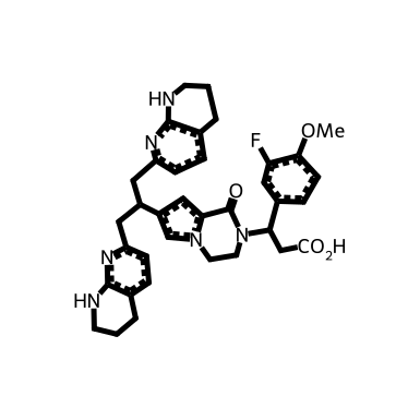 COc1ccc(C(CC(=O)O)N2CCn3cc(C(Cc4ccc5c(n4)NCCC5)Cc4ccc5c(n4)NCCC5)cc3C2=O)cc1F